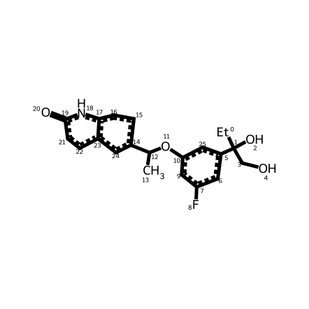 CCC(O)(CO)c1cc(F)cc(OC(C)c2ccc3[nH]c(=O)ccc3c2)c1